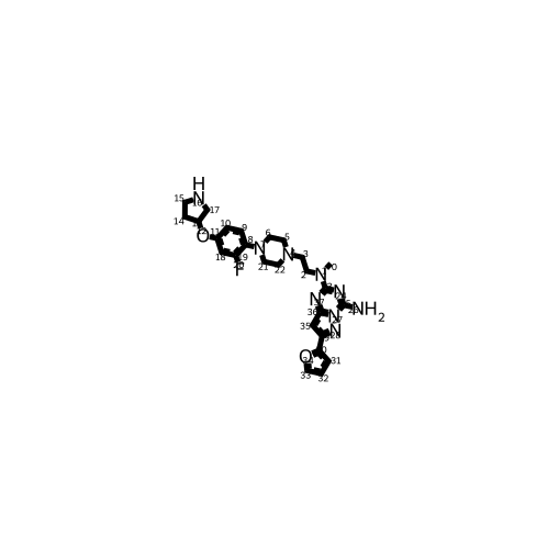 CN(CCN1CCN(c2ccc(OC3CCNC3)cc2F)CC1)c1nc(N)n2nc(-c3ccco3)cc2n1